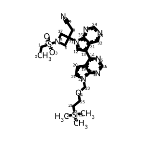 CCS(=O)(=O)N1CC(CC#N)(n2cc(-c3ncnc4c3ccn4COCC[Si](C)(C)C)c3cncnc32)C1